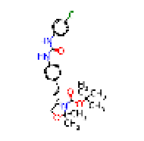 CC(C)(C)OC(=O)N1[C@@H](C=Cc2ccc(NC(=O)Nc3ccc(Cl)cc3)cc2)COC1(C)C